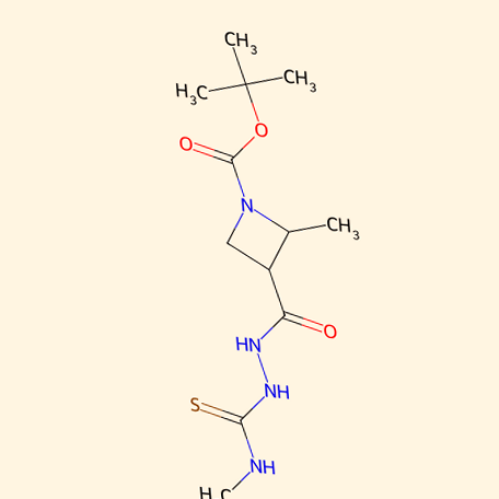 CNC(=S)NNC(=O)C1CN(C(=O)OC(C)(C)C)C1C